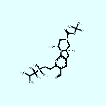 CC(C)C(C)(C)[Si](C)(C)OCc1nc2c(cc1C=O)C[C@@H]1CN(C(=O)OC(C)(C)C)C[C@@H](C)N21